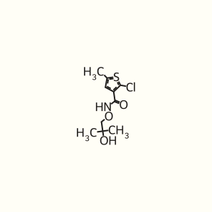 Cc1cc(C(=O)NOCC(C)(C)O)c(Cl)s1